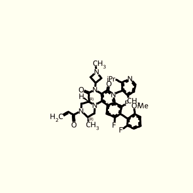 C=CC(=O)N1C[C@@H]2C(=O)N(C3CN(C)C3)c3c(c4cc(F)c(-c5c(F)cccc5OC)c(F)c4n(-c4c(C)ccnc4C(C)C)c3=O)N2C[C@H]1C